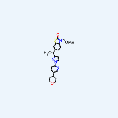 COCn1c(=O)sc2cc(C(C)c3ccn(-c4ccc(C5CCOCC5)cn4)n3)ccc21